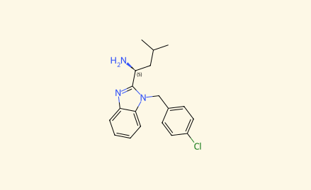 CC(C)C[C@H](N)c1nc2ccccc2n1Cc1ccc(Cl)cc1